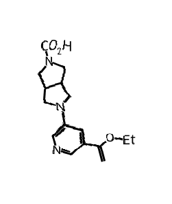 C=C(OCC)c1cncc(N2CC3CN(C(=O)O)CC3C2)c1